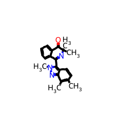 Cc1ccc2c(C3=NC(C)(C)C(=O)c4ccccc43)n(C)nc2c1C